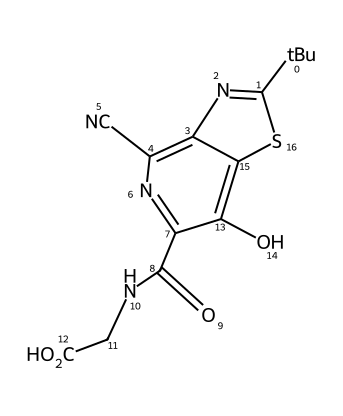 CC(C)(C)c1nc2c(C#N)nc(C(=O)NCC(=O)O)c(O)c2s1